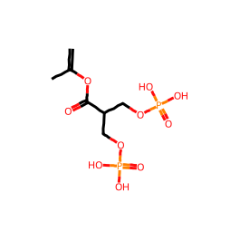 C=C(C)OC(=O)C(COP(=O)(O)O)COP(=O)(O)O